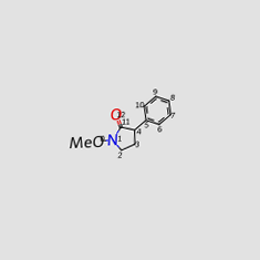 CON1CCC(c2ccccc2)C1=O